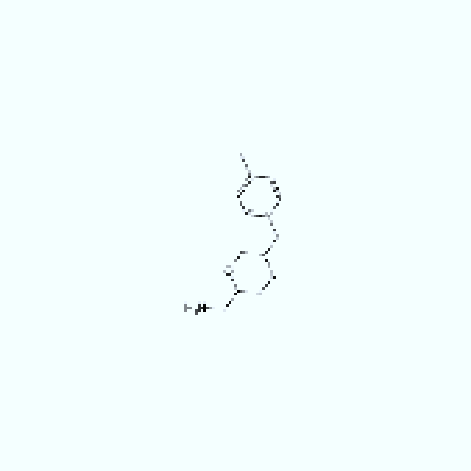 Cc1ccc(CC2COC(CN)CN2)cc1